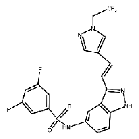 O=S(=O)(Nc1ccc2[nH]nc(/C=C/c3cnn(CC(F)(F)F)c3)c2c1)c1cc(F)cc(F)c1